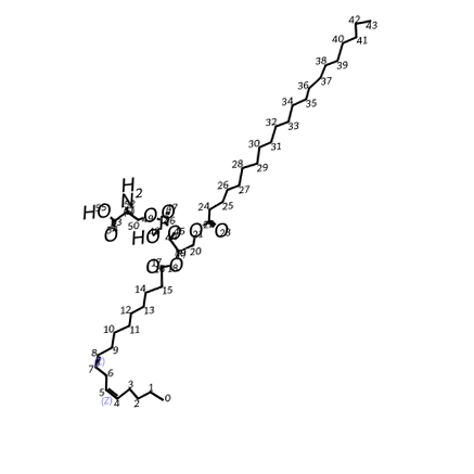 CCCC/C=C\C/C=C\CCCCCCCC(=O)O[C@H](COC(=O)CCCCCCCCCCCCCCCCCCCC)COP(=O)(O)OC[C@H](N)C(=O)O